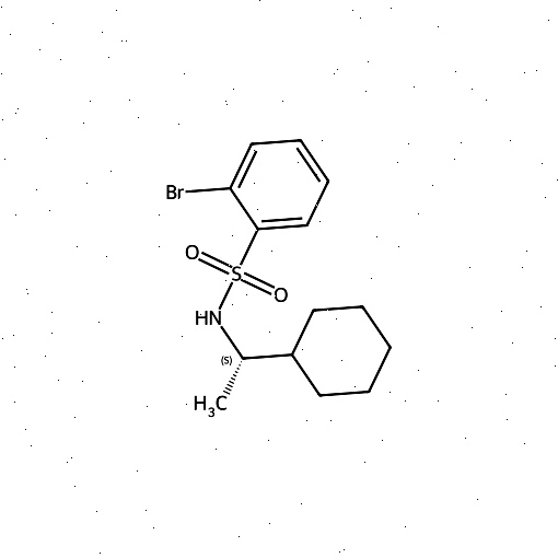 C[C@H](NS(=O)(=O)c1ccccc1Br)C1CCCCC1